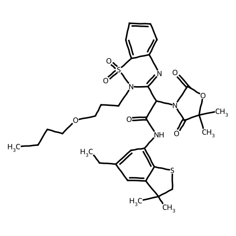 CCCCOCCCN1C(C(C(=O)Nc2cc(CC)cc3c2SCC3(C)C)N2C(=O)OC(C)(C)C2=O)=Nc2ccccc2S1(=O)=O